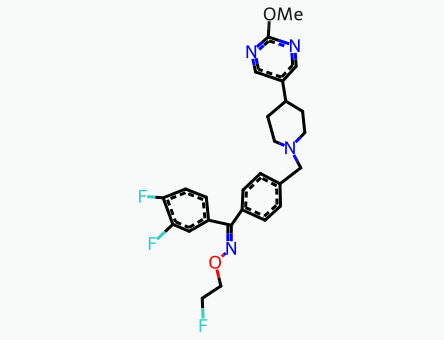 COc1ncc(C2CCN(Cc3ccc(/C(=N/OCCF)c4ccc(F)c(F)c4)cc3)CC2)cn1